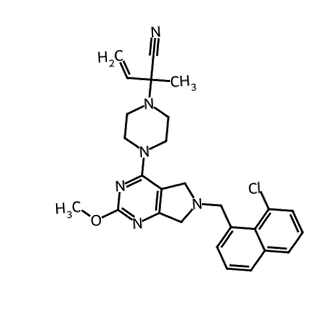 C=CC(C)(C#N)N1CCN(c2nc(OC)nc3c2CN(Cc2cccc4cccc(Cl)c24)C3)CC1